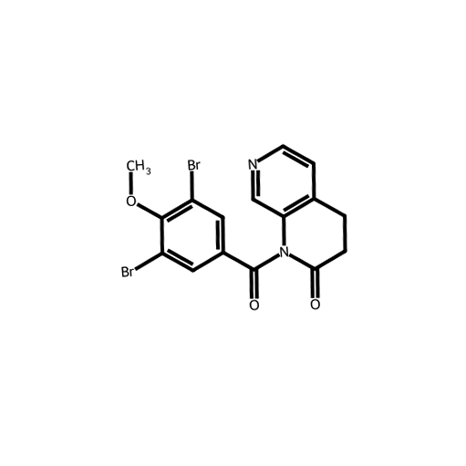 COc1c(Br)cc(C(=O)N2C(=O)CCc3ccncc32)cc1Br